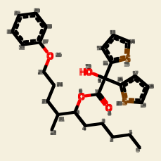 CCCCCC(OC(=O)C(O)(c1cccs1)c1cccs1)C(C)CCCOc1ccccc1